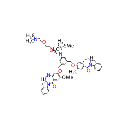 COc1cc2c(cc1OCc1cc(COc3cc4c(cc3C)C(=O)N3c5ccccc5C[C@H]3CC4)cc(N(CCOCCOCCN(C)C)CC(C)(C)SC)c1)N=C[C@@H]1Cc3ccccc3N1C2=O